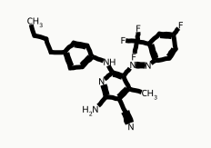 CCCCc1ccc(Nc2nc(N)c(C#N)c(C)c2/N=N/c2ccc(F)cc2C(F)(F)F)cc1